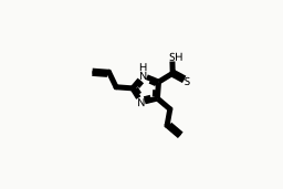 C=CCc1nc(CC=C)c(C(=S)S)[nH]1